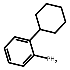 Pc1ccccc1C1CCCCC1